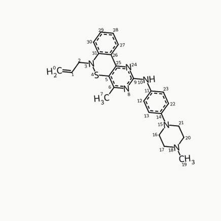 C=CCN1Sc2c(C)nc(Nc3ccc(N4CCN(C)CC4)cc3)nc2-c2ccccc21